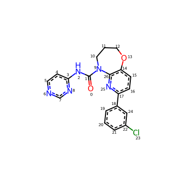 O=C(Nc1ccncn1)N1CCCOc2ccc(-c3cccc(Cl)c3)nc21